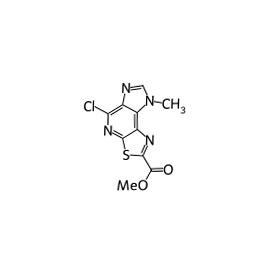 COC(=O)c1nc2c(nc(Cl)c3ncn(C)c32)s1